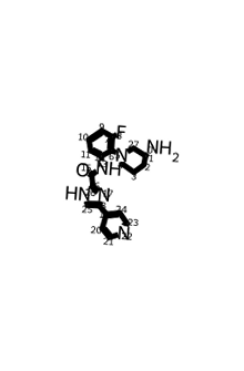 NC1CCCN(c2c(F)cccc2NC(=O)c2nc(-c3ccncc3)c[nH]2)C1